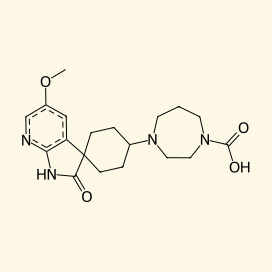 COc1cnc2c(c1)C1(CCC(N3CCCN(C(=O)O)CC3)CC1)C(=O)N2